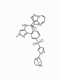 Cn1cc(NC(=O)c2cnn3cccnc23)c(-c2cc(S(=O)(=O)c3cnn(C4CN5CCC4CC5)c3)ccc2OC(F)F)n1